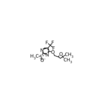 C[S+]([O-])c1ncc(C(F)(F)F)c(OCC2CC(C)(C)O2)n1